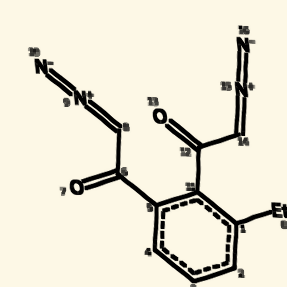 CCc1cccc(C(=O)C=[N+]=[N-])c1C(=O)C=[N+]=[N-]